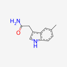 Cc1ccc2[nH]cc(CC(N)=O)c2c1